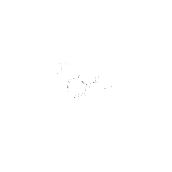 CCNc1cccc(SC)c1